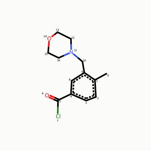 Cc1ccc(C(=O)Cl)cc1CN1CCOCC1